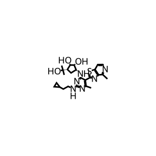 Cc1nc(NCCC2CC2)nc(N[C@@H]2C[C@H](C(C)(C)O)[C@@H](O)[C@H]2O)c1-c1nc2c(C)nccc2s1